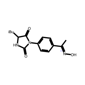 CCC(C)C1NC(=O)N(c2ccc(/C(C)=N/O)cc2)C1=O